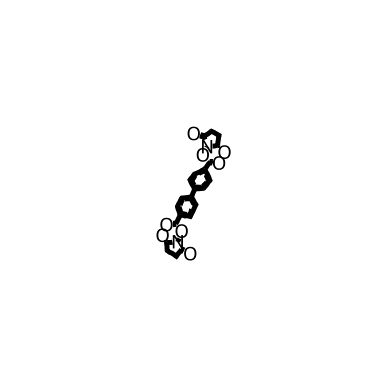 O=C(ON1C(=O)CCC1=O)c1ccc(-c2ccc(C(=O)ON3C(=O)CCC3=O)cc2)cc1